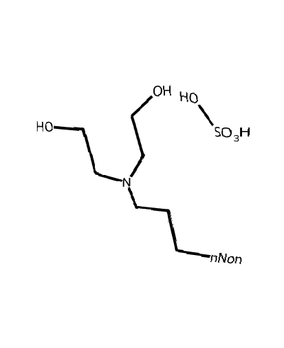 CCCCCCCCCCCCN(CCO)CCO.O=S(=O)(O)O